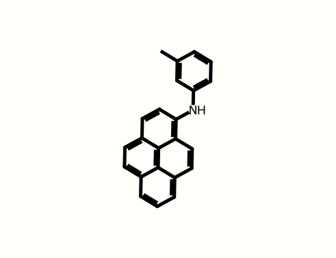 Cc1cccc(Nc2ccc3ccc4cccc5ccc2c3c45)c1